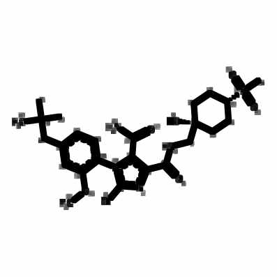 CCc1nc(C(=O)NC[C@]2(O)CC[C@@H](S(C)(=O)=O)CC2)c(C(N)=O)n1-c1ccc(CC(C)(C)C(F)(F)F)cc1OC(F)(F)F